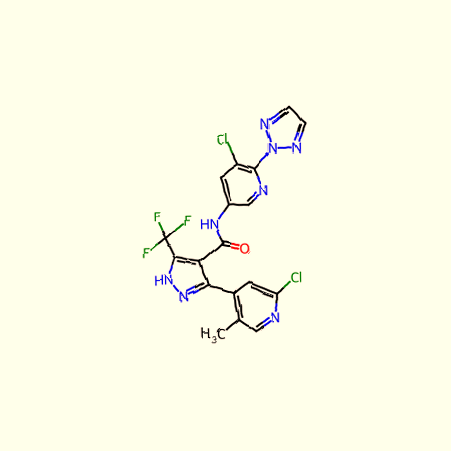 Cc1cnc(Cl)cc1-c1n[nH]c(C(F)(F)F)c1C(=O)Nc1cnc(-n2nccn2)c(Cl)c1